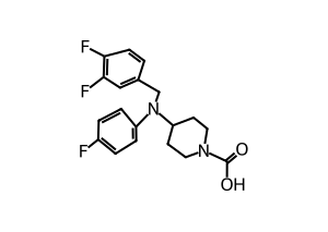 O=C(O)N1CCC(N(Cc2ccc(F)c(F)c2)c2ccc(F)cc2)CC1